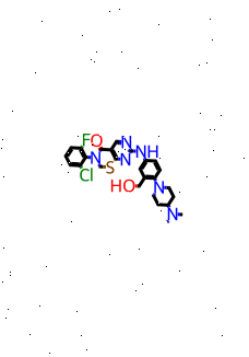 CN(C)C1CCN(c2ccc(Nc3ncc4c(n3)SCN(c3c(F)cccc3Cl)C4=O)cc2CO)CC1